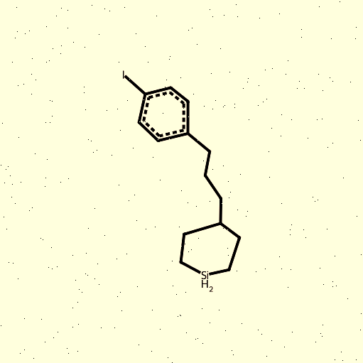 Ic1ccc(CCCC2CC[SiH2]CC2)cc1